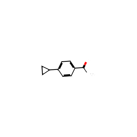 COC(=O)c1[c]cc(C2CC2)cc1